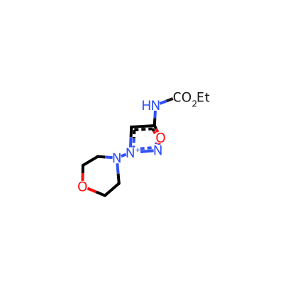 CCOC(=O)Nc1c[n+](N2CCOCC2)no1